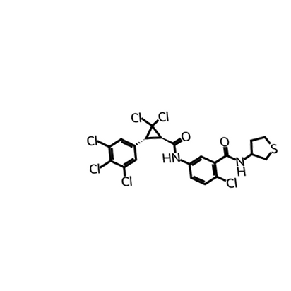 O=C(NC1CCSC1)c1cc(NC(=O)[C@H]2[C@H](c3cc(Cl)c(Cl)c(Cl)c3)C2(Cl)Cl)ccc1Cl